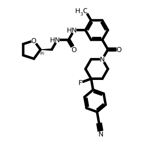 Cc1ccc(C(=O)N2CCC(F)(c3ccc(C#N)cc3)CC2)cc1NC(=O)NC[C@H]1CCCO1